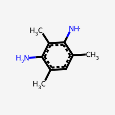 Cc1cc(C)c(N)c(C)c1[NH]